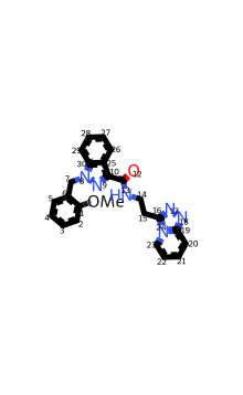 COc1ccccc1Cn1nc(C(=O)NCCc2nnc3ccccn23)c2ccccc21